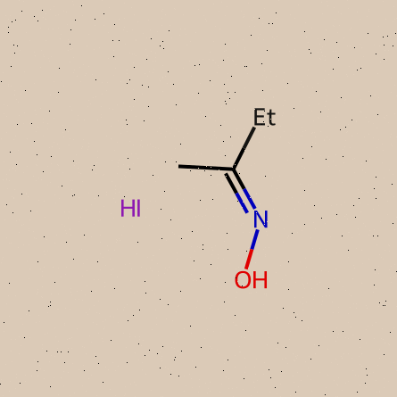 CCC(C)=NO.I